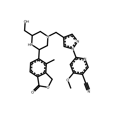 COc1cc(-n2cc(CN3CC(CO)NC(c4ccc5c(c4C)COC5=O)C3)cn2)ncc1C#N